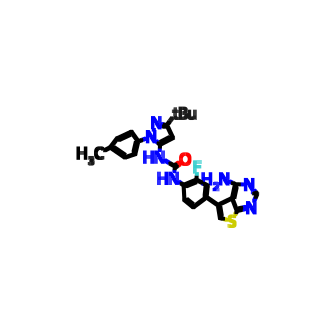 Cc1ccc(-n2nc(C(C)(C)C)cc2NC(=O)Nc2ccc(-c3csc4ncnc(N)c34)cc2F)cc1